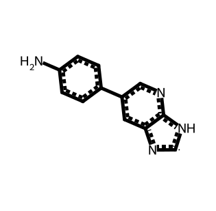 Nc1ccc(-c2cnc3[nH][c]nc3c2)cc1